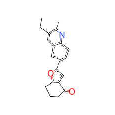 CCc1cc2cc(-c3cc4c(o3)CCCC4=O)ccc2nc1C